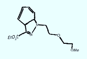 CCOC(=O)C1=NN(CCOCCOC)C2C=CC=CC12